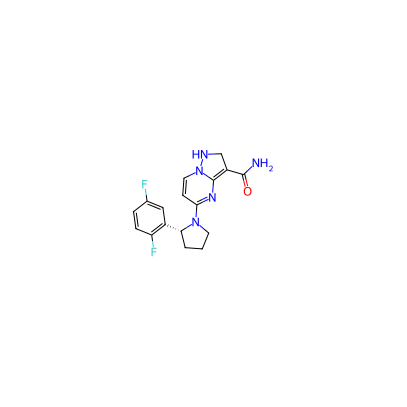 NC(=O)C1=C2N=C(N3CCC[C@@H]3c3cc(F)ccc3F)C=CN2NC1